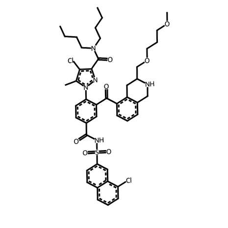 CCCCN(CCCC)C(=O)c1nn(-c2ccc(C(=O)NS(=O)(=O)c3ccc4cccc(Cl)c4c3)cc2C(=O)c2cccc3c2CC(COCCCOC)NC3)c(C)c1Cl